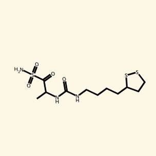 CC(NC(=O)NCCCCC1CCSS1)C(=O)S(N)(=O)=O